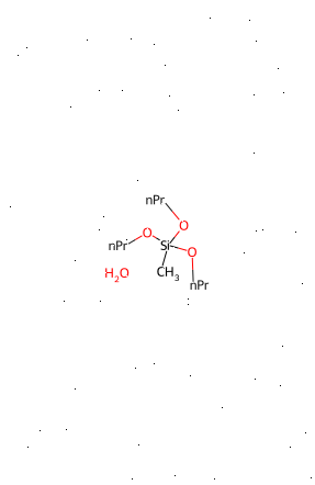 CCCO[Si](C)(OCCC)OCCC.O